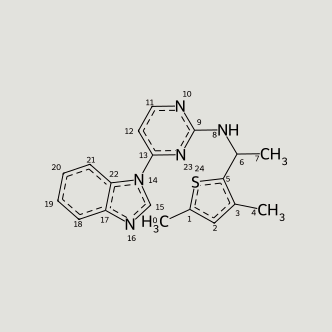 Cc1cc(C)c(C(C)Nc2nccc(-n3cnc4ccccc43)n2)s1